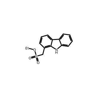 CCOS(=O)(=O)Cc1cccc2c1[nH]c1ccccc12